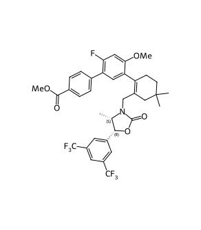 COC(=O)c1ccc(-c2cc(C3=C(CN4C(=O)O[C@H](c5cc(C(F)(F)F)cc(C(F)(F)F)c5)[C@@H]4C)CC(C)(C)CC3)c(OC)cc2F)cc1